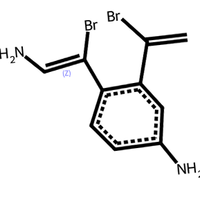 C=C(Br)c1cc(N)ccc1/C(Br)=C/N